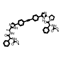 COC(=O)NC(C(=O)N[C@@H](C)c1ncc(-c2ccc(C#Cc3ccc(-c4cnc([C@@H]5CCCN5C(=O)[C@H](NC(=O)OC)c5ccccc5)[nH]4)cc3)cc2)[nH]1)c1ccccc1